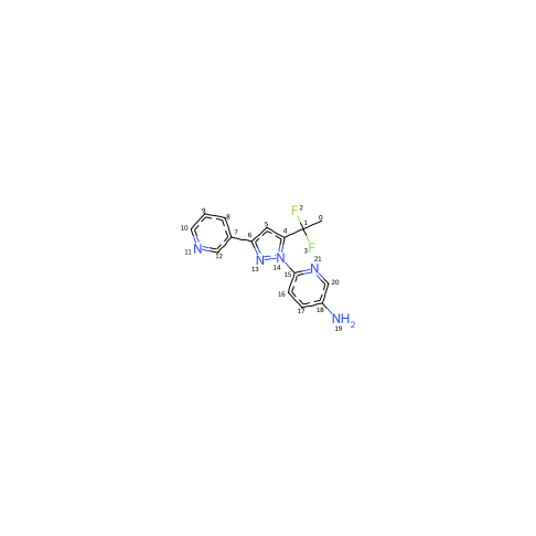 CC(F)(F)c1cc(-c2cccnc2)nn1-c1ccc(N)cn1